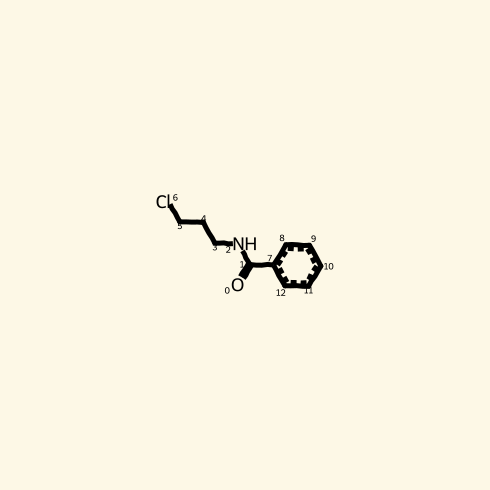 O=C(NCCCCl)c1ccccc1